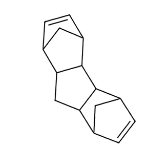 C1=CC2CC1C1CC3C4C=CC(C4)C3C21